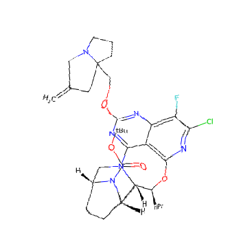 C=C1CN2CCCC2(COc2nc3c4c(nc(Cl)c(F)c4n2)O[C@@H](CCC)[C@@H]2[C@@H]4CC[C@H](CN32)N4C(=O)OC(C)(C)C)C1